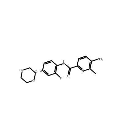 Cc1nc(C(=O)Nc2ccc([C@H]3CNCCO3)cc2F)ccc1N